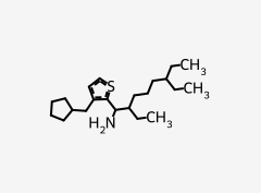 CCC(CC)CCCC(CC)C(N)c1sccc1CC1CCCC1